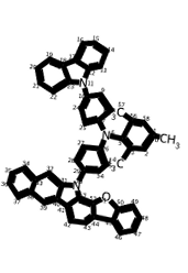 Cc1cc(C)c(N(c2ccc(-n3c4ccccc4c4ccccc43)cc2)c2ccc(-n3c4cc5ccccc5cc4c4ccc5c6ccccc6oc5c43)cc2)c(C)c1